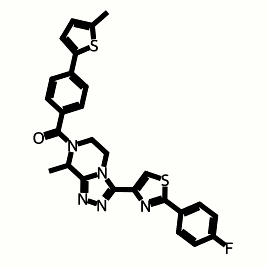 Cc1ccc(-c2ccc(C(=O)N3CCn4c(-c5csc(-c6ccc(F)cc6)n5)nnc4C3C)cc2)s1